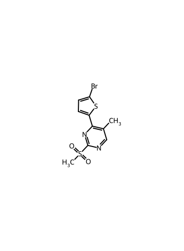 Cc1cnc(S(C)(=O)=O)nc1-c1ccc(Br)s1